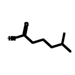 CC(C)CCCC([NH])=O